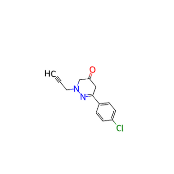 C#CCN1CC(=O)CC(c2ccc(Cl)cc2)=N1